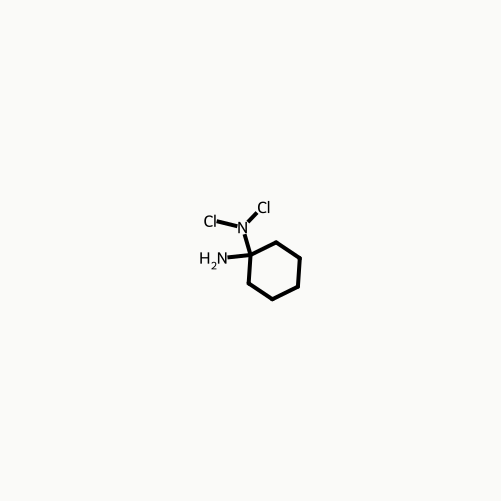 NC1(N(Cl)Cl)CCCCC1